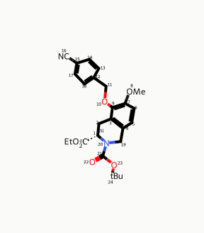 CCOC(=O)[C@@H]1Cc2c(ccc(OC)c2OCc2ccc(C#N)cc2)CN1C(=O)OC(C)(C)C